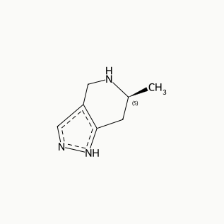 C[C@H]1Cc2[nH]ncc2CN1